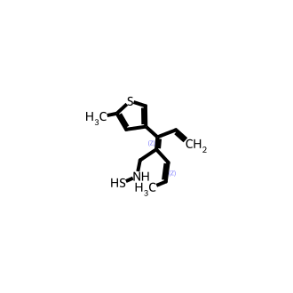 C=C/C(=C(\C=C/C)CNS)c1csc(C)c1